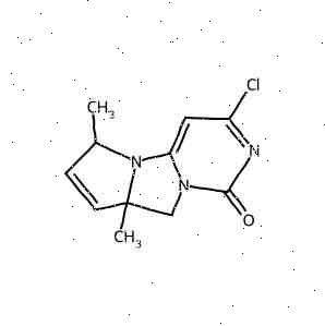 CC1C=CC2(C)Cn3c(cc(Cl)nc3=O)N12